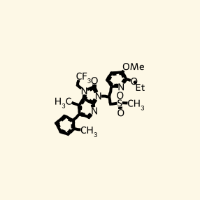 CCOc1nc(C(CS(C)(=O)=O)n2c(=O)n(CC(F)(F)F)c3c(C)c(-c4ccccc4C)cnc32)ccc1OC